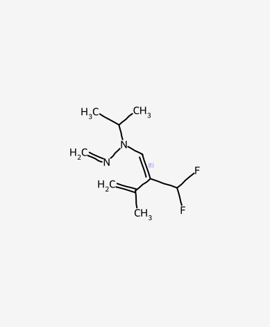 C=NN(/C=C(\C(=C)C)C(F)F)C(C)C